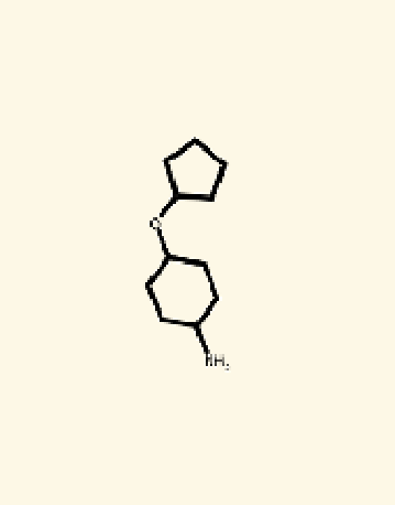 NC1CCC(OC2CCCC2)CC1